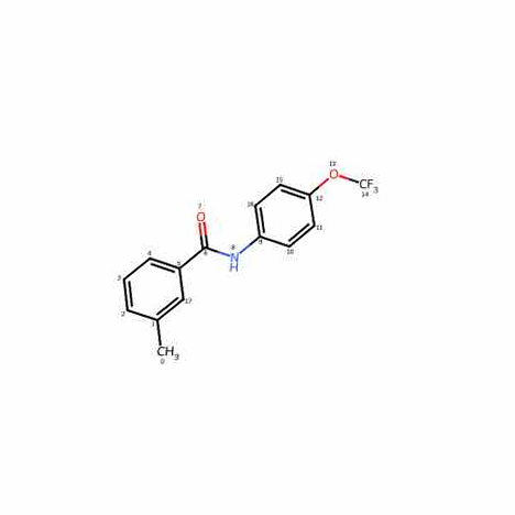 Cc1cccc(C(=O)Nc2ccc(OC(F)(F)F)cc2)c1